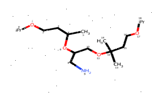 CC(C)OCCC(C)OC(CN)COC(C)(C)CCOC(C)C